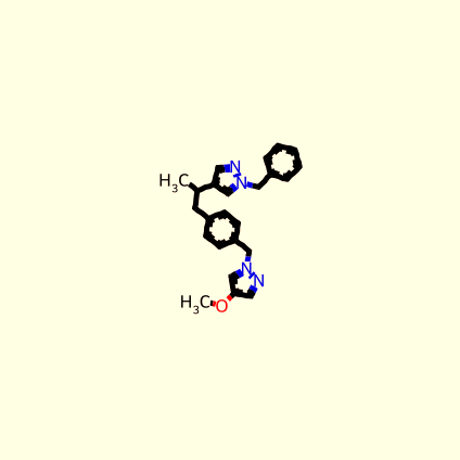 COc1cnn(Cc2ccc(CC(C)c3cnn(Cc4ccccc4)c3)cc2)c1